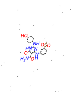 CS(=O)(=O)c1cccc(Nc2nc(N[C@H]3CC[C@H](O)CC3)[nH]c(=O)c2C(N)=O)c1